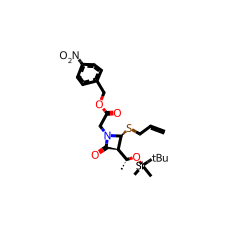 C=CCS[C@H]1[C@@H]([C@@H](C)O[Si](C)(C)C(C)(C)C)C(=O)N1CC(=O)OCc1ccc([N+](=O)[O-])cc1